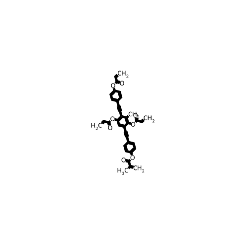 C=CC(=O)Oc1ccc(C#Cc2c(OC(=O)C=C)cc(C#Cc3ccc(OC(=O)C(=C)C)cc3)c(OC(=O)C=C)c2C)cc1